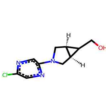 OCC1[C@H]2CN(c3cnc(Cl)cn3)C[C@@H]12